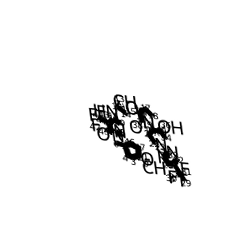 COc1ccc(Cn2ncc(N[C@@H](C)CO[C@@H]3CCN([C@H]4CCN(c5ncc(C(F)(F)F)cn5)C[C@H]4O)C3=O)c(C(F)(F)F)c2=O)cc1